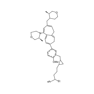 CCCC(CC)CCCC1CC1Cc1cc(C2=CC=C3C(=CC2)CC=C(CC2CCOC[C@@H]2C)C=C3N2CCOC[C@@H]2C)ccc1OC